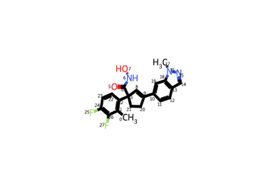 Cc1c(C2(C(=O)NO)C=C(c3ccc4cnn(C)c4c3)CC2)ccc(F)c1F